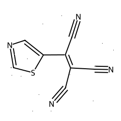 N#CC(C#N)=C(C#N)c1cn[c]s1